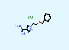 Cl.N=C(N)c1cnn(CCOCc2ccccc2)c1